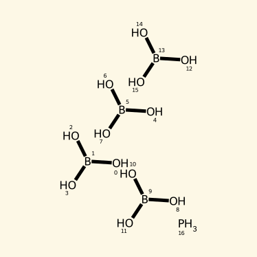 OB(O)O.OB(O)O.OB(O)O.OB(O)O.P